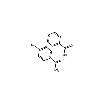 CC(=O)c1cc[c]([Na])nc1.O=C(O)c1ccccc1